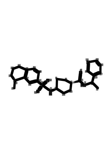 CC(NC(=O)[C@H]1CC[C@H](NS(=O)(=O)c2ccc3c(c2)N(C)CCC3)CC1)c1cccnc1